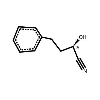 N#C[C@H](O)CCc1ccccc1